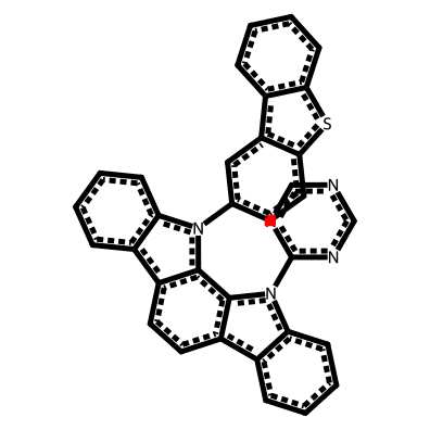 c1ccc2c(c1)sc1ccc(-n3c4ccccc4c4ccc5c6ccccc6n(-c6ncncn6)c5c43)cc12